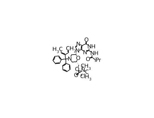 C=C/C(=C\C)C(c1ccccc1)(c1ccccc1)N1C[C@@H](COP(=O)(Cl)N(C)C)O[C@@H](n2cnc3c(=O)[nH]c(NC(=O)C(C)C)nc32)C1